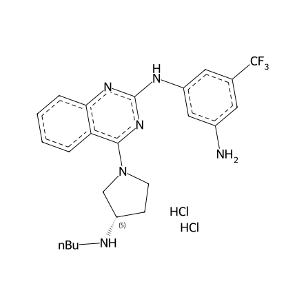 CCCCN[C@H]1CCN(c2nc(Nc3cc(N)cc(C(F)(F)F)c3)nc3ccccc23)C1.Cl.Cl